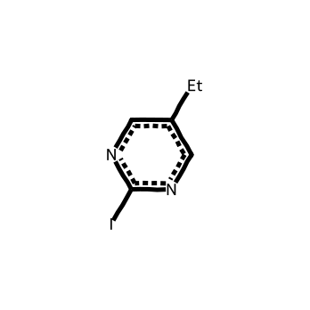 CCc1cnc(I)nc1